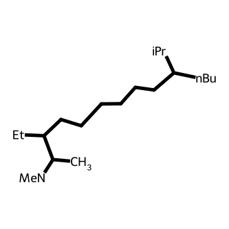 CCCCC(CCCCCCC(CC)C(C)NC)C(C)C